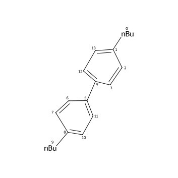 CCCCc1ccc(-c2ccc(CCCC)cc2)cc1